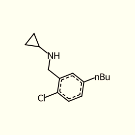 CCCCc1ccc(Cl)c(CNC2CC2)c1